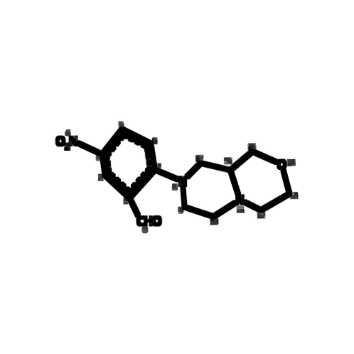 O=Cc1cc([N+](=O)[O-])ccc1N1CCN2CCOCC2C1